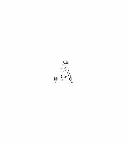 O=[SiH2].[Co].[Cu].[Ni]